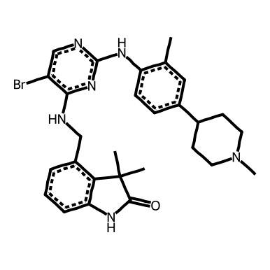 Cc1cc(C2CCN(C)CC2)ccc1Nc1ncc(Br)c(NCc2cccc3c2C(C)(C)C(=O)N3)n1